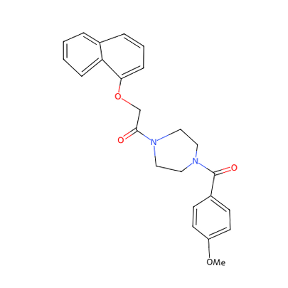 COc1ccc(C(=O)N2CCN(C(=O)COc3cccc4ccccc34)CC2)cc1